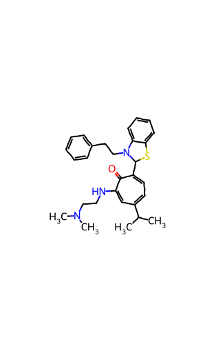 CC(C)c1ccc(C2Sc3ccccc3N2CCc2ccccc2)c(=O)c(NCCN(C)C)c1